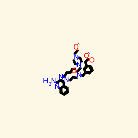 CCCCc1nc2c(N)nc3ccccc3c2n1CCCN(Cc1cccc(CC(=O)OC)c1)C(=O)CN1CCN(CCOC)CC1